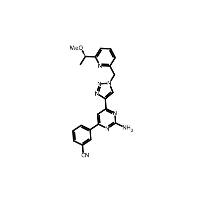 CO[C@H](C)c1cccc(Cn2cc(-c3cc(-c4cccc(C#N)c4)nc(N)n3)nn2)n1